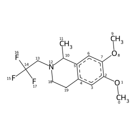 COc1cc2c(cc1OC)C(C)N(CC(F)(F)F)CC2